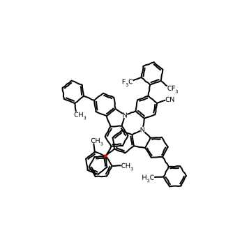 Cc1ccccc1-c1ccc2c(c1)c1cc(-c3ccccc3C)ccc1n2-c1cc(C#N)c(-c2c(C(F)(F)F)cccc2C(F)(F)F)cc1-n1c2ccc(-c3ccccc3C)cc2c2cc(-c3ccccc3C)ccc21